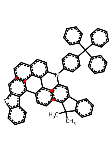 CC1(C)c2ccccc2-c2cc(N(c3ccc(C(c4ccccc4)(c4ccccc4)c4ccccc4)cc3)c3ccc4ccccc4c3-c3ccccc3-c3cccc4sc5ccccc5c34)ccc21